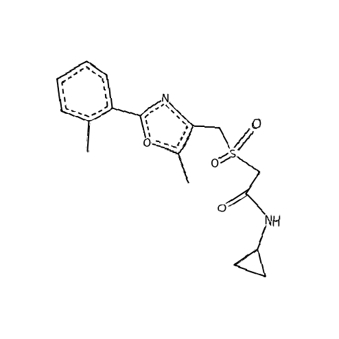 Cc1ccccc1-c1nc(CS(=O)(=O)CC(=O)NC2CC2)c(C)o1